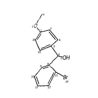 COc1ccc(C(O)c2ccccc2Br)cc1